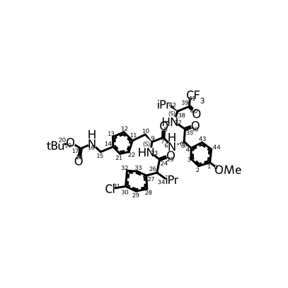 COc1ccc([C@H](NC(=O)[C@H](Cc2ccc(CNC(=O)OC(C)(C)C)cc2)NC(=O)C(c2ccc(Cl)cc2)C(C)C)C(=O)N[C@H](C(=O)C(F)(F)F)C(C)C)cc1